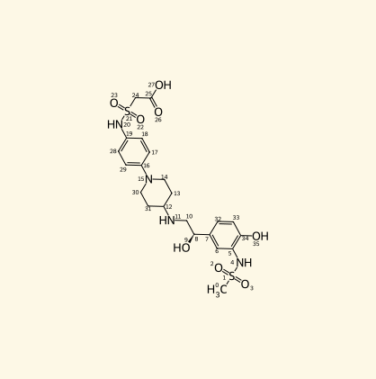 CS(=O)(=O)Nc1cc([C@@H](O)CNC2CCN(c3ccc(NS(=O)(=O)CC(=O)O)cc3)CC2)ccc1O